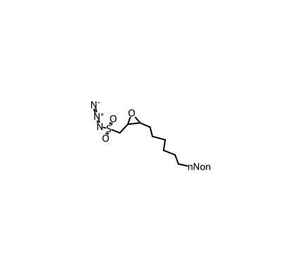 CCCCCCCCCCCCCCCC1OC1CS(=O)(=O)N=[N+]=[N-]